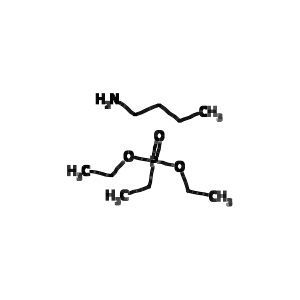 CCCCN.CCOP(=O)(CC)OCC